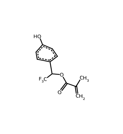 C=C(C)C(=O)OC(c1ccc(O)cc1)C(F)(F)F